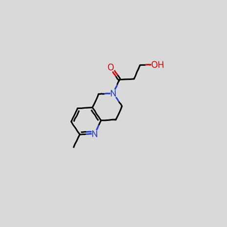 Cc1ccc2c(n1)CCN(C(=O)CCO)C2